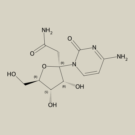 NC(=O)C[C@@]1(n2ccc(N)nc2=O)O[C@H](CO)[C@@H](O)[C@H]1O